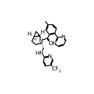 Cc1ccc(-c2ncccn2)c(C(=O)N2[C@H](CNc3ccc(C(F)(F)F)cn3)CC[C@H]3C[C@H]32)c1